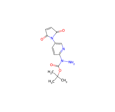 CC(C)(C)OC(=O)N(N)c1ccc(N2C(=O)C=CC2=O)cn1